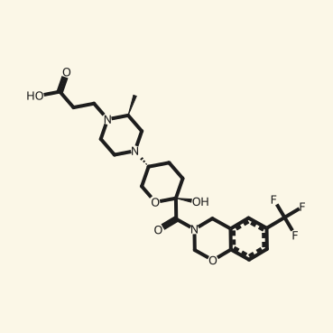 C[C@H]1CN([C@@H]2CC[C@](O)(C(=O)N3COc4ccc(C(F)(F)F)cc4C3)OC2)CCN1CCC(=O)O